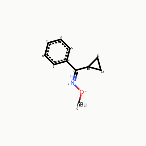 CCCCO/N=C(/c1ccccc1)C1CC1